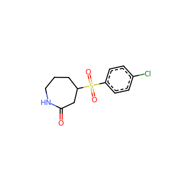 O=C1CC(S(=O)(=O)c2ccc(Cl)cc2)CCCN1